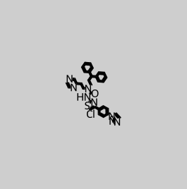 O=C(Nc1nc(-c2ccc(-n3ccnn3)cc2)c(Cl)s1)N(CCc1cnccn1)CCC(c1ccccc1)c1ccccc1